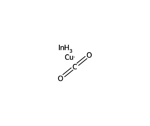 O=C=O.[Cu].[InH3]